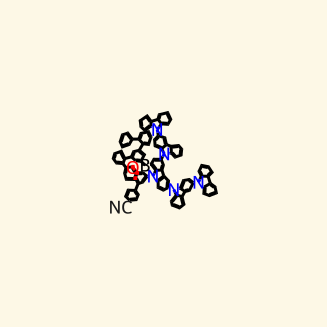 N#Cc1ccc(-c2cc3c4c(c2)-n2c5ccc(-n6c7ccccc7c7cc(-n8c9ccccc9c9ccccc98)ccc76)cc5c5cc(-n6c7ccccc7c7cc(-n8c9ccccc9c9ccccc98)ccc76)cc(c52)B4c2cc(-c4ccccc4-c4ccccc4)cc(-c4ccccc4-c4ccccc4)c2O3)cc1